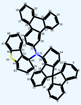 c1ccc2c(c1)-c1ccccc1C21c2ccccc2-c2c(N(c3ccc4c5ccccc5c5ccccc5c4c3)c3cccc4sc5ccccc5c34)cccc21